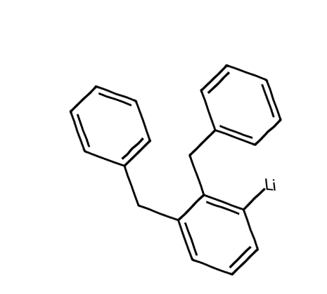 [Li][c]1cccc(Cc2ccccc2)c1Cc1ccccc1